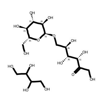 O=C(CO)[C@@H](O)[C@H](O)[C@H](O)CO[C@H]1O[C@H](CO)[C@@H](O)[C@H](O)[C@H]1O.OCC(O)C(O)CO